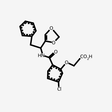 O=C(O)COc1cc(Cl)ccc1C(=O)NC(Cc1ccccc1)C1=COCO1